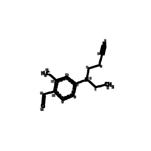 CCN(CCC#N)c1ccc(C=O)c(C)c1